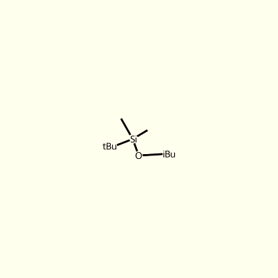 CCC(C)O[Si](C)(C)C(C)(C)C